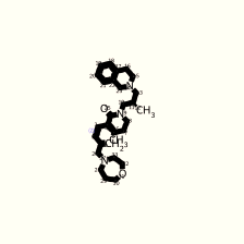 C=C(/C=C\C1=C(C)CCN(C[C@H](C)CN2CCc3ccccc3C2)C1=O)CN1CCCOCC1